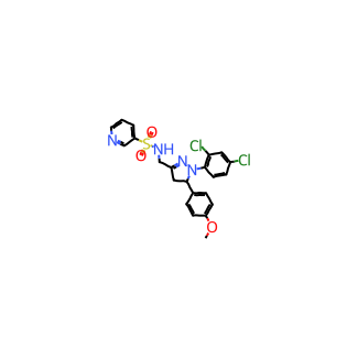 COc1ccc(C2CC(CNS(=O)(=O)c3cccnc3)=NN2c2ccc(Cl)cc2Cl)cc1